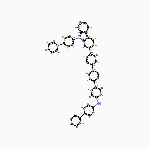 c1ccc(-c2ccc(Nc3ccc(-c4ccc(-c5ccc(-c6ccc7c8ccccc8n(-c8ccc(-c9ccccc9)cc8)c7c6)cc5)cc4)cc3)cc2)cc1